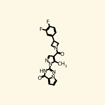 Cc1c(C(=O)N2CC(c3ccc(F)c(F)c3)C2)cnn1-c1nn2cccc2c(=O)[nH]1